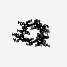 C/C1=C\C=C\C2(C)C=C(CO)C(C)CC23OC(O)C(C3=O)C(O)/C=C/C2(C)C=C(CO)C(C)CC23OC(O)C(C3=O)C(O)/C(C)=C/C=C/C2C=C(CO)C(C)CC23OC(O)C(C3=O)C(O)/C=C/C2(C)C=C(CO)C(C)CC23OC(O)C(C3=O)C1O